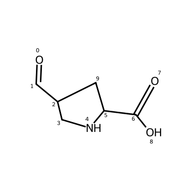 O=CC1CNC(C(=O)O)C1